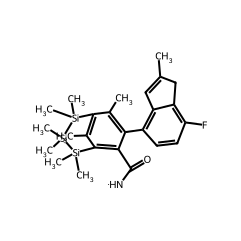 CC1=Cc2c(-c3c(C)c4c(C)c(c3C([NH])=O)[Si](C)(C)[Si](C)(C)[Si]4(C)C)ccc(F)c2C1